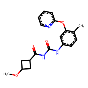 COC1CC(C(=O)NC(=O)Nc2ccc(C)c(Oc3ccccn3)c2)C1